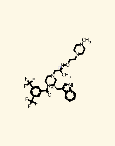 C/C(CN1CCN(C(=O)c2cc(C(F)(F)F)cc(C(F)(F)F)c2)[C@H](Cc2c[nH]c3ccccc23)C1)=N\OCCN1CCN(C)CC1